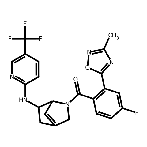 Cc1noc(-c2cc(F)ccc2C(=O)N2CC3=CC2C(Nc2ccc(C(F)(F)F)cn2)C3)n1